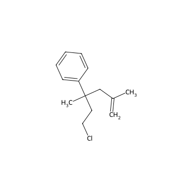 C=C(C)CC(C)(CCCl)c1ccccc1